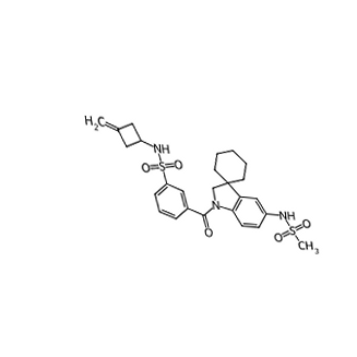 C=C1CC(NS(=O)(=O)c2cccc(C(=O)N3CC4(CCCCC4)c4cc(NS(C)(=O)=O)ccc43)c2)C1